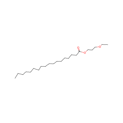 CCCCCCCCCCCCCCCCCC(=O)OCCCOCC